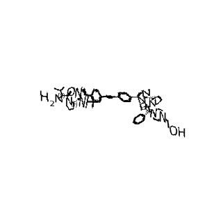 CC(C)[C@H](N)C(=O)N1CCC[C@H]1c1ncc(-c2ccc(C#Cc3ccc(-c4cnc([C@@H]5CCCN5C(=O)[C@@H](c5ccccc5)N5CCN(CCO)CC5)[nH]4)cc3)cc2)[nH]1